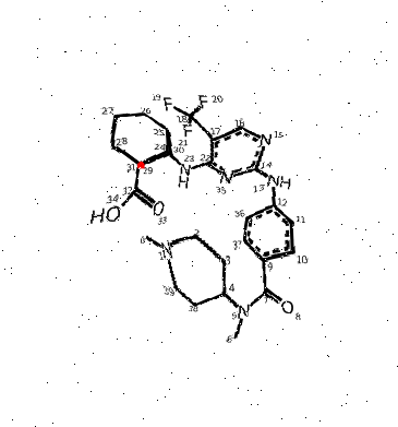 CN1CCC(N(C)C(=O)c2ccc(Nc3ncc(C(F)(F)F)c(NC4C5CCC(CC5)C4C(=O)O)n3)cc2)CC1